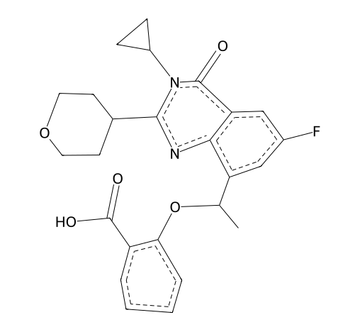 CC(Oc1ccccc1C(=O)O)c1cc(F)cc2c(=O)n(C3CC3)c(C3CCOCC3)nc12